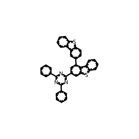 c1ccc(-c2nc(-c3ccccc3)nc(-c3cc(-c4ccc5sc6ccccc6c5c4)c4c(c3)sc3ccccc34)n2)cc1